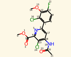 COC(=O)c1nc(-c2ccc(F)c(OC)c2Cl)cc(NC(C)=O)c1Cl